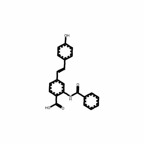 O=C(Nc1cc(/C=C/c2ccc(O)cc2)ccc1C(=O)O)c1ccccc1